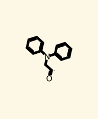 O=[C]CN(c1ccccc1)c1ccccc1